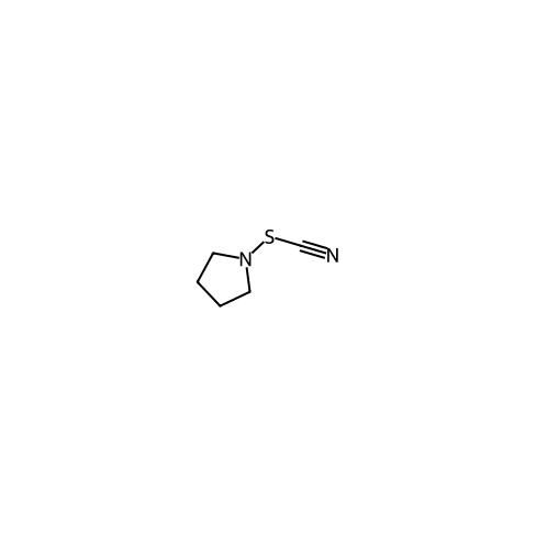 N#CSN1CCCC1